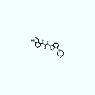 O=C(Nc1cccc2[nH]ncc12)NC1CCc2c1cccc2N1CCCOCC1